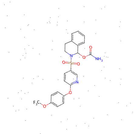 NC(=O)OC1c2ccccc2CCN1S(=O)(=O)c1ccc(Oc2ccc(OC(F)(F)F)cc2)nc1